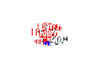 O=C(O)c1cc(O)c(O)c(OC(=O)c2cc(O)c(O)c(OC(=O)c3cc(O)c(O)c(OC(=O)c4cc(O)c(O)c(OC(=O)c5cc(O)c(O)c(OC(=O)c6cc(CCc7ccc(F)cc7)n[nH]6)c5)c4)c3)c2)c1